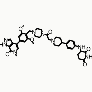 COc1cc(-c2cn(C)c(=O)c3[nH]ncc23)cc(OC)c1CN1CCN(C(=O)CN2CCC(c3ccc(NC4CCC(=O)NC4=O)cc3)CC2)CC1